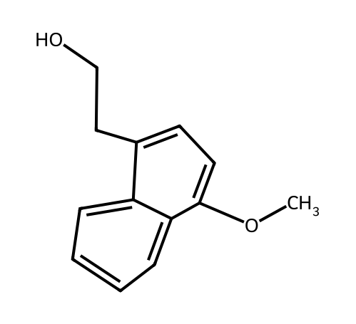 COc1ccc(CCO)c2ccccc12